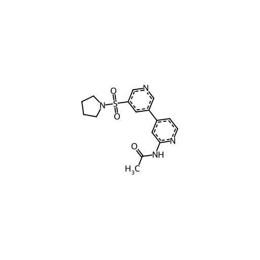 CC(=O)Nc1cc(-c2cncc(S(=O)(=O)N3CCCC3)c2)ccn1